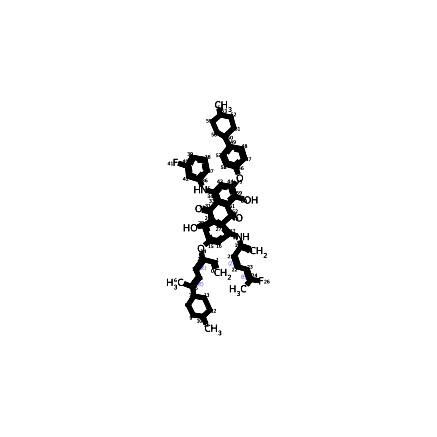 C=C/C(=C\C=C(/C)C1CCC(C)CC1)Oc1cc(NC(=C)/C=C\C=C(/C)F)c2c(c1O)C(=O)c1c(Nc3cccc(F)c3)cc(Oc3ccc(C4CCC(C)CC4)cc3)c(O)c1C2=O